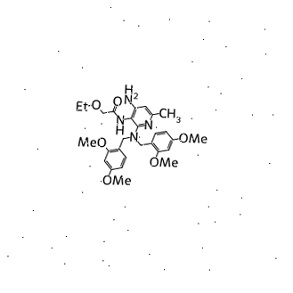 CCOCC(=O)Nc1c(N)cc(C)nc1N(Cc1ccc(OC)cc1OC)Cc1ccc(OC)cc1OC